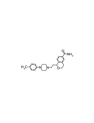 Cc1ccc(N2CCN(CCC3OCCc4cc(C(N)=O)ccc43)CC2)cc1